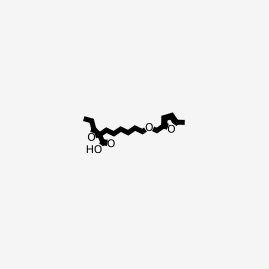 CCC1OC1(CCCCCCOCc1ccc(C)o1)C(=O)O